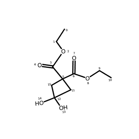 CCOC(=O)C1(C(=O)OCC)CC(O)(O)C1